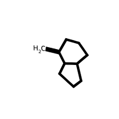 C=C1CCCC2CCCC12